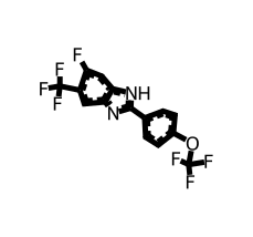 Fc1cc2[nH]c(-c3ccc(OC(F)(F)F)cc3)nc2cc1C(F)(F)F